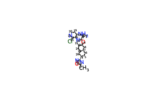 Cc1nc(-c2ccc3ccc(CN(C(=O)C(C)C)c4c(N)ccnc4Cl)cc3c2)no1